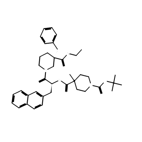 CCNC(=O)[C@]1(Cc2ccccc2)CCCN(C(=O)[C@H](Cc2ccc3ccccc3c2)NC(=O)C2(C)CCN(C(=O)OC(C)(C)C)CC2)C1